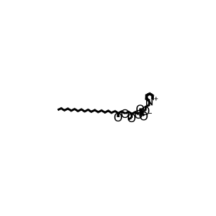 CCCCCCCCCCCCCCCCCCC(=O)COCC(COP(=O)([O-])OCC[n+]1ccccc1)OC